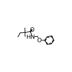 CCC(C)(C)C(=O)NCOc1ccccc1